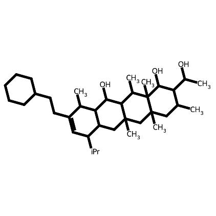 CC(C)C1C=C(CCC2CCCCC2)C(C)C2C(O)C3C(C)C4(C)C(O)C(C(C)O)C(C)CC4(C)CC3(C)CC12